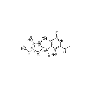 CNc1nc(F)nc2c1ncn2[C@@H]1O[C@H](CO)C(O)[C@H]1O